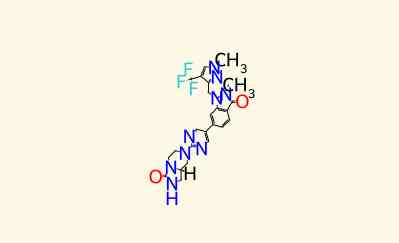 Cn1cc(C(F)(F)F)c(Cn2c3cc(-c4cnc(N5CCN6C(=O)NC[C@H]6C5)nc4)ccc3c(=O)n2C)n1